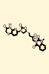 Cn1c(=O)n(CC(O)CC[C@@H]2CN(c3ccc4c(n3)NC(=O)CS4)C(=O)O2)c(=O)c2ccccc21